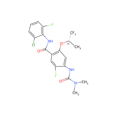 C[C@H](Oc1cc(NC(=O)N(C)C)c(F)cc1C(=O)Nc1c(F)cccc1Cl)C(F)(F)F